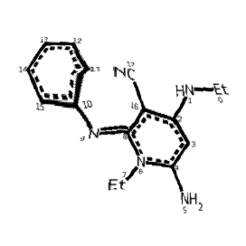 CCNc1cc(N)n(CC)c(=Nc2ccccc2)c1C#N